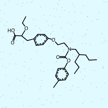 CCCC(CCC)CN(CCOc1ccc(CC(OCC)C(=O)O)cc1)C(=O)Oc1ccc(C)cc1